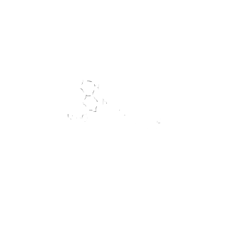 COc1cc(NCCCCCCC2COCC[S+]2[O-])c2nccc(C)c2c1